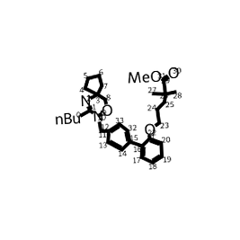 CCCCC1=NC2(CCCC2)CON1Cc1ccc(-c2ccccc2OCCCC(C)(C)C(=O)OC)cc1